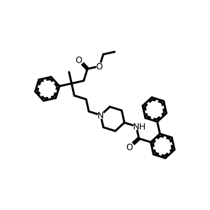 CCOC(=O)CC(C)(CCCN1CCC(NC(=O)c2ccccc2-c2ccccc2)CC1)c1ccccc1